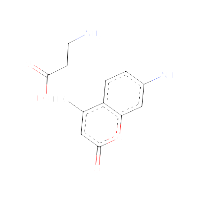 Cc1cc(=O)oc2cc(N)ccc12.NCCC(=O)O